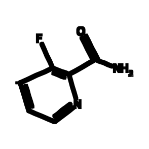 NC(=O)c1ncc[c]c1F